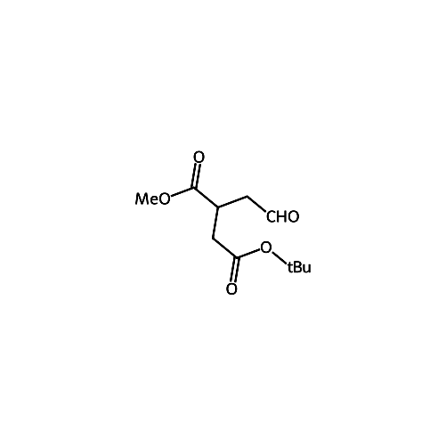 COC(=O)C(CC=O)CC(=O)OC(C)(C)C